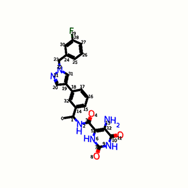 CC(NC(=O)c1[nH]c(=O)[nH]c(=O)c1N)c1cccc(-c2cnn(Cc3cccc(F)c3)c2)c1